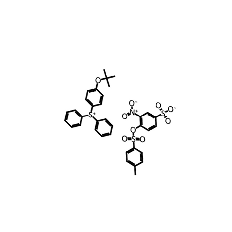 CC(C)(C)Oc1ccc([S+](c2ccccc2)c2ccccc2)cc1.Cc1ccc(S(=O)(=O)Oc2ccc(S(=O)(=O)[O-])cc2[N+](=O)[O-])cc1